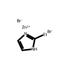 CCc1ncc[nH]1.[Br-].[Br-].[Zn+2]